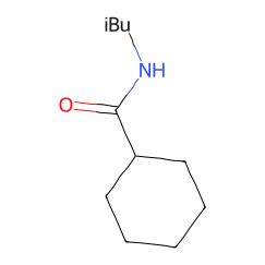 CCC(C)NC(=O)C1CCCCC1